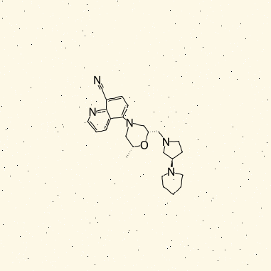 C[C@@H]1CN(c2ccc(C#N)c3ncccc23)C[C@H](CN2CC[C@@H](N3CCCCC3)C2)O1